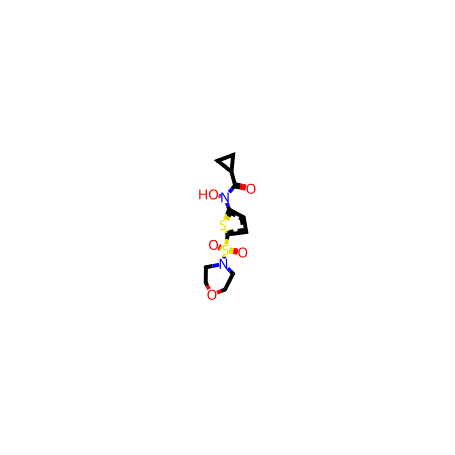 O=C(C1CC1)N(O)c1ccc(S(=O)(=O)N2CCOCC2)s1